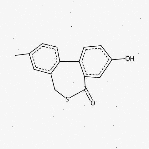 Cc1ccc2c(c1)CSC(=O)c1cc(O)ccc1-2